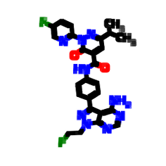 CC(C)c1cc(C(=O)Nc2ccc(-c3nn(CCF)c4ncnc(N)c34)cc2)c(=O)n(-c2ccc(F)cn2)n1